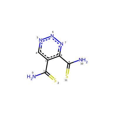 NC(=S)c1cnnnc1C(N)=S